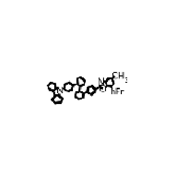 CCCc1cc(C)cc2nc(-c3ccc(-c4ccccc4-c4ccccc4-c4ccc(-n5c6ccccc6c6ccccc65)cc4)cc3)oc12